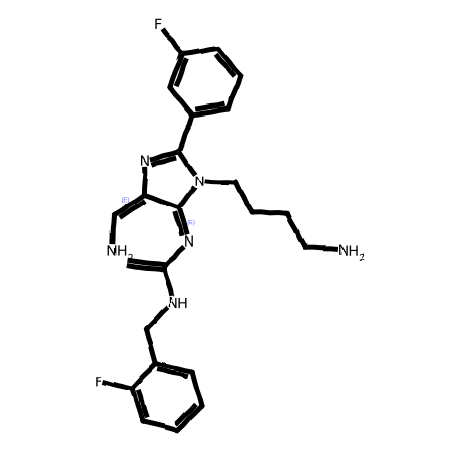 C=C(/N=C1\C(=C/N)N=C(c2cccc(F)c2)N1CCCCN)NCc1ccccc1F